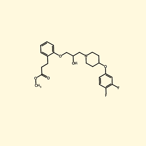 COC(=O)CCc1ccccc1OCC(O)CN1CCC(Oc2ccc(F)c(F)c2)CC1